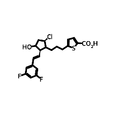 O=C(O)c1ccc(CCCC2[C@@H](/C=C/c3cc(F)cc(F)c3)C(O)C[C@H]2Cl)s1